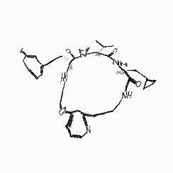 CC(C)[C@H]1NC(=O)[C@@H](Cc2cccc(I)c2)NCCOc2cccnc2CCCNC(=O)[C@H](CC2CC2)NC1=O